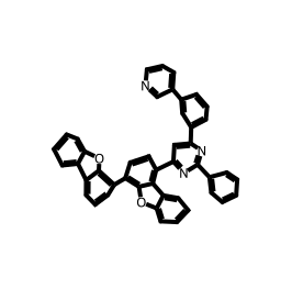 c1ccc(-c2nc(-c3cccc(-c4cccnc4)c3)cc(-c3ccc(-c4cccc5c4oc4ccccc45)c4oc5ccccc5c34)n2)cc1